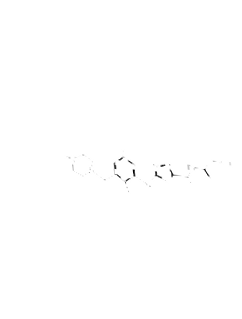 CC[C@H](NC(=O)OC(C)(C)C)c1nnc(Nc2cc(Cl)cc(CN3CCN(C(=O)O)[C@@H](C)C3)c2C)o1